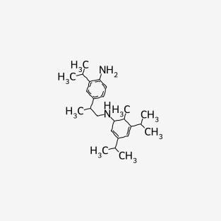 CC(C)C1=CC(NCC(C)c2ccc(N)c(C(C)C)c2)C(C)C(C(C)C)=C1